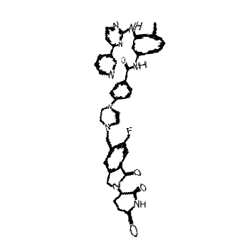 Cc1ccc(NC(=O)c2ccc(N3CCN(Cc4cc5c(cc4F)C(=O)N(C4CCC(=O)NC4=O)C5)CC3)cc2)cc1Nc1nccc(-c2cccnc2)n1